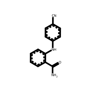 N#Cc1ccc(Nc2ccccc2C(N)=O)cc1